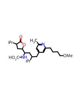 COCCCCc1cc(CC(CC(NC(=O)O)C2CC(C(C)C)C(=O)O2)C(C)C)cc(C)n1